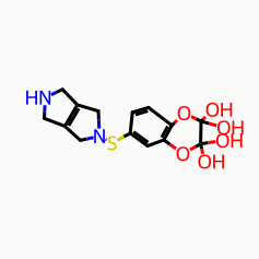 OC1(O)Oc2ccc(SN3CC4=C(CNC4)C3)cc2OC1(O)O